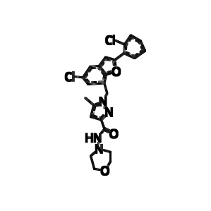 Cc1cc(C(=O)NN2CCOCC2)nn1Cc1cc(Cl)cc2cc(-c3ccccc3Cl)oc12